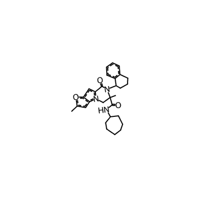 Cc1cc2c(cc3n2CC(C)(C(=O)NC2CCCCCC2)N(C2CCCc4ccccc42)C3=O)o1